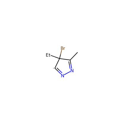 CCC1(Br)[C]=NN=C1C